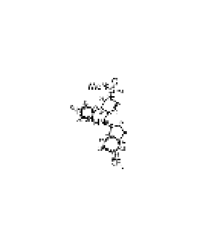 CN[SH](C)(=O)C1C=CC(NC2CCc3cc(C(F)(F)F)ccc32)C(c2cn(C)cn2)C1